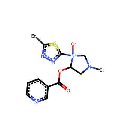 CCc1nnc([N+]2([O-])CN(CC)CC2OC(=O)c2cccnc2)s1